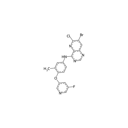 Cc1cc(Nc2ncnc3cc(Br)c(Cl)nc23)ccc1Oc1cncc(F)c1